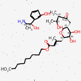 C/C(=C\C(=O)OCCCCCCCCC(=O)O)C[C@@H]1OC[C@H](C[C@@H]2O[C@H]2[C@@H](C)[C@H](C)O)[C@@H](O)[C@H]1O.C[C@H](N)[C@H](O)c1cccc(O)c1